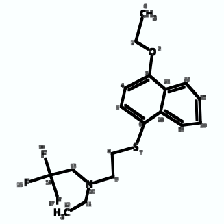 CCOc1ccc(SCCN(CC)CC(F)(F)F)c2ccccc12